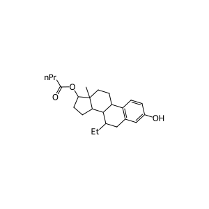 CCCC(=O)OC1CCC2C3C(CC)Cc4cc(O)ccc4C3CCC12C